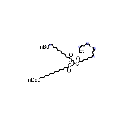 CC/C=C\C/C=C\C/C=C\C/C=C\CCCCC(=O)O[C@H](COC(=O)CCCCCCC/C=C\CCCC)COC(=O)CCCCCCCCCCCCCCCCCCCCC